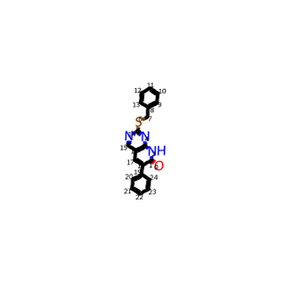 O=c1[nH]c2nc(SCc3ccccc3)ncc2cc1-c1ccccc1